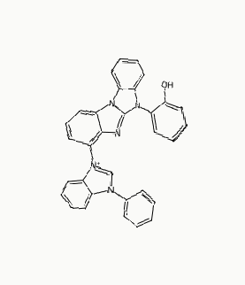 Oc1ccccc1-n1c2ccccc2n2c3cccc(-[n+]4cn(-c5ccccc5)c5ccccc54)c3nc12